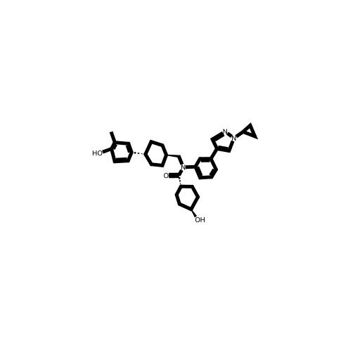 Cc1cc([C@H]2CC[C@H](CN(c3cccc(-c4cnn(C5CC5)c4)c3)C(=O)[C@H]3CC[C@H](O)CC3)CC2)ccc1O